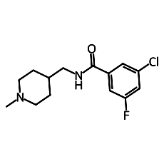 CN1CCC(CNC(=O)c2cc(F)cc(Cl)c2)CC1